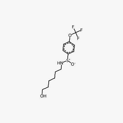 [O-][S+](NCCCCCCO)c1ccc(OC(F)(F)F)cc1